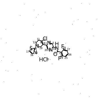 Cl.O=C(Nc1cnc(C2=C(Cl)CCN(c3nccs3)C2)cn1)c1c(F)cccc1F